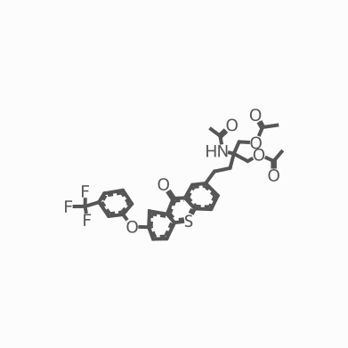 CC(=O)NC(CCc1ccc2sc3ccc(Oc4cccc(C(F)(F)F)c4)cc3c(=O)c2c1)(COC(C)=O)COC(C)=O